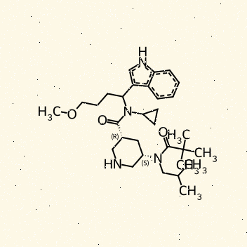 COCCCC(c1c[nH]c2ccccc12)N(C(=O)[C@H]1CNC[C@@H](N(CC(C)C)C(=O)C(C)(C)C)C1)C1CC1